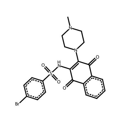 CN1CCN(C2=C(NS(=O)(=O)c3ccc(Br)cc3)C(=O)c3ccccc3C2=O)CC1